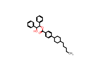 CCCCCC1CCC(c2ccc(C(=O)OC(c3ccccc3)C(O)c3ccccc3)cc2)CC1